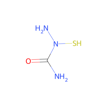 NC(=O)N(N)S